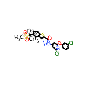 CC(C)(c1ccc2sc(C(=O)Nc3cc(Cl)nc(Oc4cccc(Cl)c4)c3)cc2c1)S(C)(=O)=O